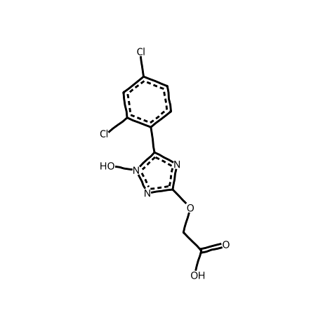 O=C(O)COc1nc(-c2ccc(Cl)cc2Cl)n(O)n1